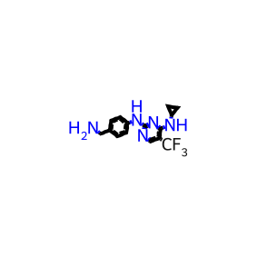 NCc1ccc(Nc2ncc(C(F)(F)F)c(NC3CC3)n2)cc1